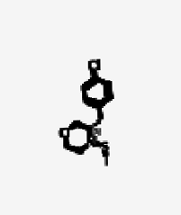 Clc1ccc(C[C@H]2COCCN2SI)cc1